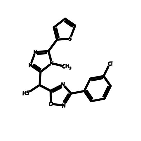 Cn1c(-c2cccs2)nnc1C(S)c1nc(-c2cccc(Cl)c2)no1